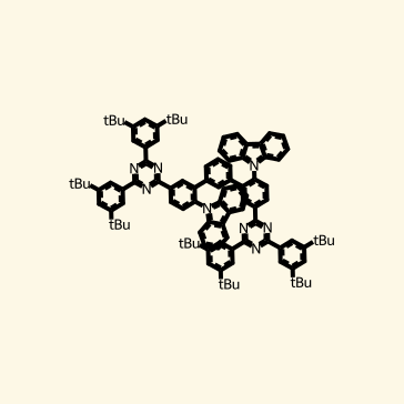 CC(C)(C)c1cc(-c2nc(-c3cc(C(C)(C)C)cc(C(C)(C)C)c3)nc(-c3ccc(-n4c5ccccc5c5ccccc54)c(-c4cccc(-c5cc(-c6nc(-c7cc(C(C)(C)C)cc(C(C)(C)C)c7)nc(-c7cc(C(C)(C)C)cc(C(C)(C)C)c7)n6)ccc5-n5c6ccccc6c6ccccc65)c4)c3)n2)cc(C(C)(C)C)c1